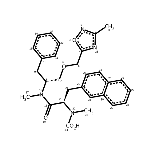 Cc1noc(COC[C@@H](Cc2ccccc2)N(C)C(=O)[C@@H](Cc2ccc3ccccc3c2)N(C)C(=O)O)n1